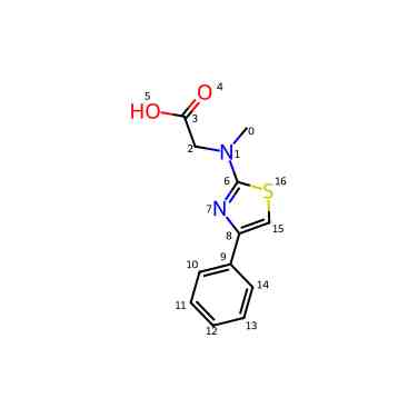 CN(CC(=O)O)c1nc(-c2ccccc2)cs1